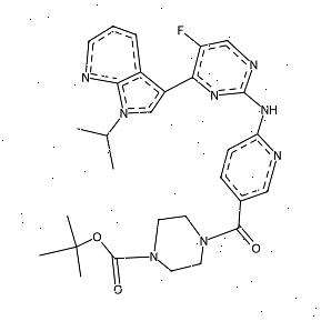 CC(C)n1cc(-c2nc(Nc3ccc(C(=O)N4CCN(C(=O)OC(C)(C)C)CC4)cn3)ncc2F)c2cccnc21